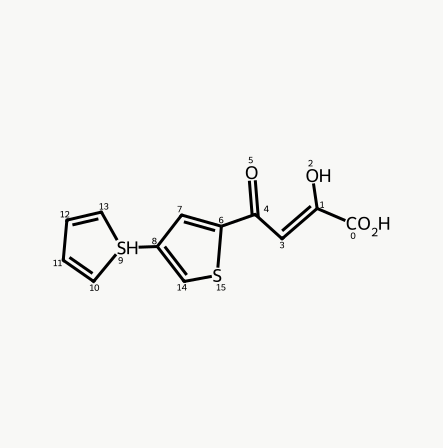 O=C(O)C(O)=CC(=O)c1cc([SH]2C=CC=C2)cs1